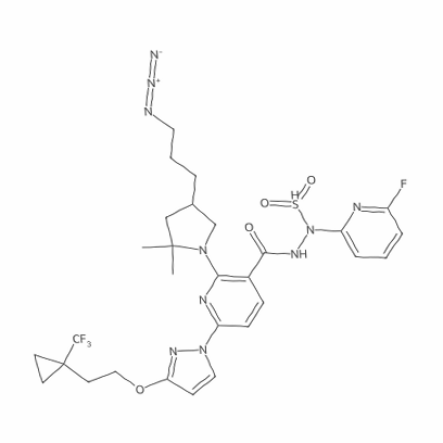 CC1(C)CC(CCCN=[N+]=[N-])CN1c1nc(-n2ccc(OCCC3(C(F)(F)F)CC3)n2)ccc1C(=O)NN(c1cccc(F)n1)[SH](=O)=O